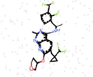 Cc1nc(N[C@H](C)c2cccc(C(F)F)c2F)c2cc(C3(C(F)F)CC3)c(OC3COC3)nc2n1